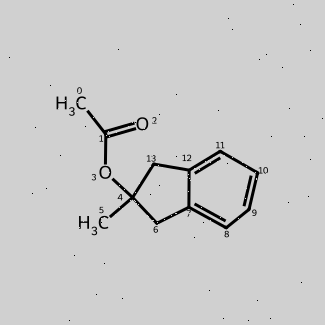 CC(=O)OC1(C)Cc2ccccc2C1